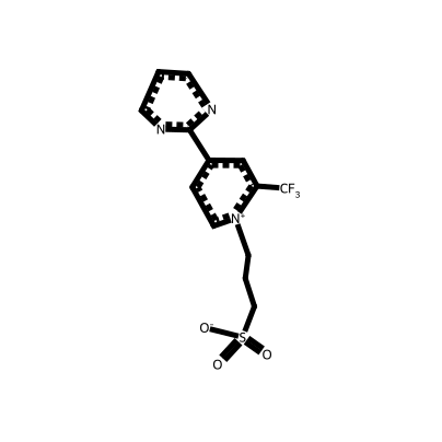 O=S(=O)([O-])CCC[n+]1ccc(-c2ncccn2)cc1C(F)(F)F